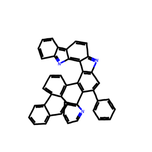 c1ccc(-c2cc3c(c(-c4cccc5c4ccc4ccccc45)c2-c2ccccn2)-c2c4c(ccc2=N3)=c2ccccc2=N4)cc1